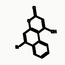 O=c1cc(O)c2c(cc(Br)c3ccccc32)o1